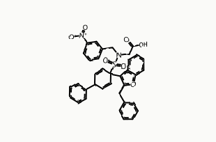 O=C(O)CN(Cc1cccc([N+](=O)[O-])c1)S(=O)(=O)C1(c2c(Cc3ccccc3)oc3ccccc23)C=CC(c2ccccc2)C=C1